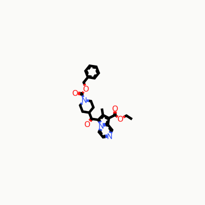 CCOC(=O)c1c(C)c(C(=O)C2CCN(C(=O)OCc3ccccc3)CC2)n2ccncc12